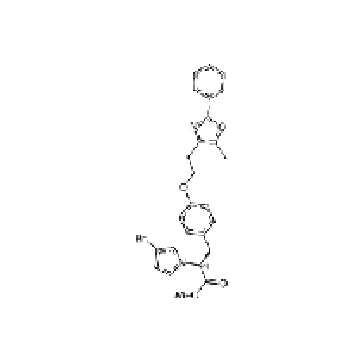 COC(=O)[C@H](Cc1ccc(OCCc2nc(-c3ccccc3)oc2C)cc1)n1ccc(Br)c1